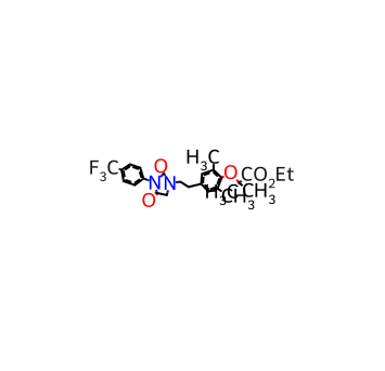 CCOC(=O)C(C)(C)Oc1c(C)cc(CCN2CC(=O)N(c3ccc(C(F)(F)F)cc3)C2=O)cc1C